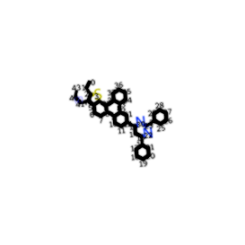 C=Cc1sc2c(ccc3c4ccc(-c5cc(-c6ccccc6)nc(-c6ccccc6)n5)cc4c4ccccc4c32)c1/C=C\C